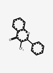 O=c1c(C(F)(F)F)c(-c2ccccc2)oc2ccccc12